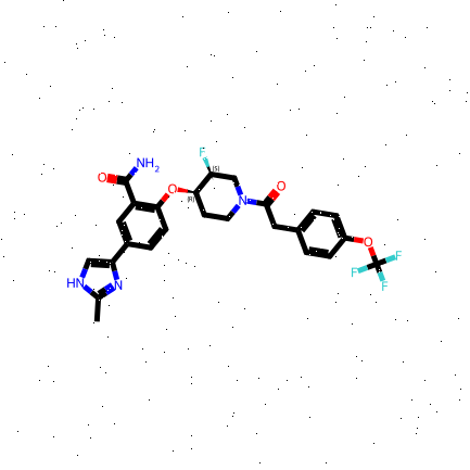 Cc1nc(-c2ccc(O[C@@H]3CCN(C(=O)Cc4ccc(OC(F)(F)F)cc4)C[C@@H]3F)c(C(N)=O)c2)c[nH]1